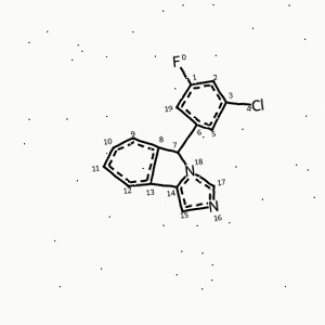 Fc1cc(Cl)cc(C2c3ccccc3-c3cncn32)c1